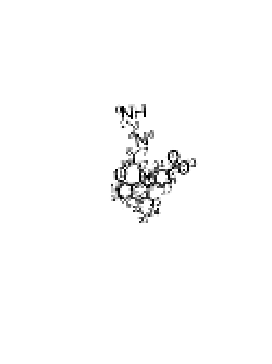 CNCCCN(C)CC[C@@H]1COc2ccccc2-c2c(C3CCCCC3)c3ccc(C(=O)OC)cc3n2C1